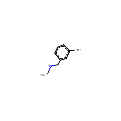 CCCCCNCc1cccc(OC)c1